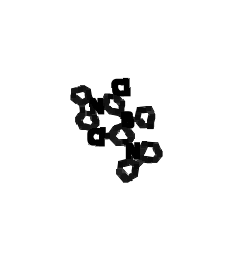 Clc1cc(B(c2ccccc2)c2cc(Cl)cc(-n3c4ccccc4c4ccccc43)c2)cc(-n2c3ccccc3c3ccccc32)c1